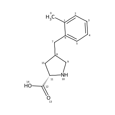 Cc1ccccc1CC1CN[C@H](C(=O)O)C1